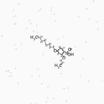 C=CCOc1cc(OCCCCCCCC)ccc1C(=O)O